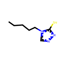 CCCCCn1cnnc1S